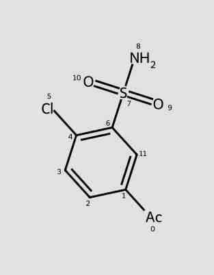 CC(=O)c1ccc(Cl)c(S(N)(=O)=O)c1